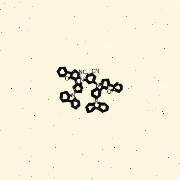 N#Cc1cc(-n2c3ccc(-n4c5ccccc5c5ccccc54)cc3c3c4oc5ccccc5c4ccc32)cc(-n2c3ccc(-n4c5ccccc5c5ccccc54)cc3c3c4oc5ccccc5c4ccc32)c1C#N